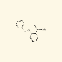 CNC(=O)c1[c]cccc1OCc1ccccc1